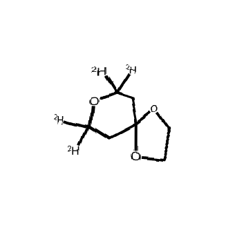 [2H]C1([2H])CC2(CC([2H])([2H])O1)OCCO2